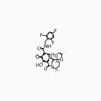 C[C@H]1CO[C@]2(CC[C@H](C)N3C[C@H]2n2cc(C(=O)NCc4c(F)cc(F)cc4F)c(=O)c(O)c2C3=O)O1